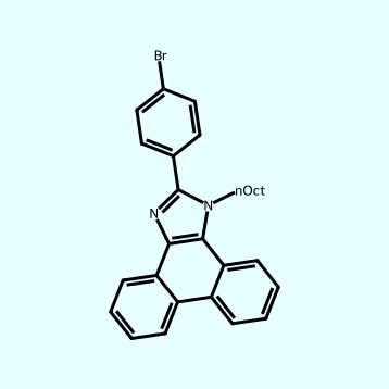 CCCCCCCCn1c(-c2ccc(Br)cc2)nc2c3ccccc3c3ccccc3c21